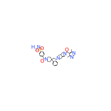 Cc1ncnc(C)c1C(=O)N1C=C2CN(CCC3(c4ccccc4)CCN(C(=O)c4ccc(S(N)(=O)=O)cc4)CC3)CC2C1